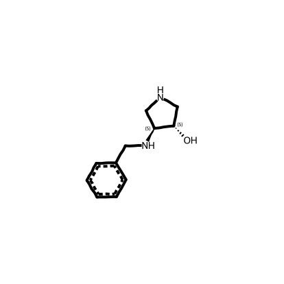 O[C@H]1CNC[C@@H]1NCc1ccccc1